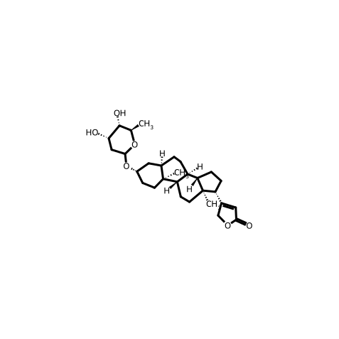 C[C@H]1OC(O[C@H]2CC[C@@]3(C)[C@H](CC[C@@H]4[C@@H]3CC[C@]3(C)[C@@H](C5=CC(=O)OC5)CC[C@@H]43)C2)C[C@H](O)[C@@H]1O